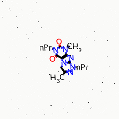 CCCN1N=C(C)Cn2c1nc1c2c(=O)n(CCC)c(=O)n1C